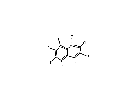 Fc1c(F)c(F)c2c(F)c(Cl)c(F)c(F)c2c1F